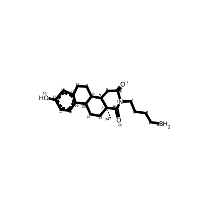 BCCCCN1C(=O)CC2C3CCc4cc(O)ccc4C3CC[C@]2(C)C1=O